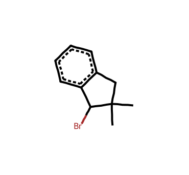 CC1(C)Cc2ccccc2C1Br